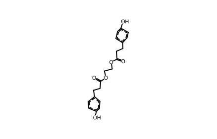 O=C(CCc1ccc(O)cc1)OCCOC(=O)CCc1ccc(O)cc1